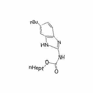 CCCCCCCOC(=O)Nc1nc2ccc(CCCC)cc2[nH]1